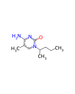 CCCC(C)n1cc(C)c(N)nc1=O